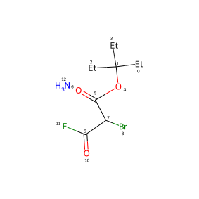 CCC(CC)(CC)OC(=O)C(Br)C(=O)F.N